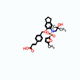 Cc1ccc(S(=O)(=O)N(CC(C)(C)O)c2cc3c(cc2OCc2ccc(C=CC(=O)O)cc2)CCC3)o1